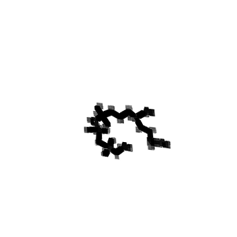 CC(=O)C[Si](C)(C)C[Si](C)(C)OC(C)(C)CCCN(CCNC(C)=O)C(C)=O